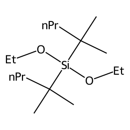 CCCC(C)(C)[Si](OCC)(OCC)C(C)(C)CCC